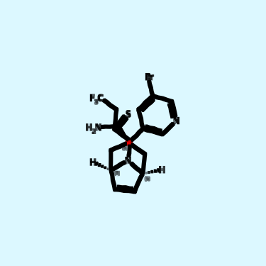 NC(=S)[C@@]1(c2cncc(Br)c2)C[C@H]2C=C[C@@H](C1)N2CCCC(F)(F)F